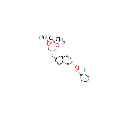 C[C@]1(C(=O)O)OC[C@H](Cc2ccc3cc(OCc4ccccc4F)ccc3c2)CO1